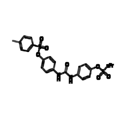 CCCS(=O)(=O)Oc1ccc(NC(=O)Nc2ccc(OS(=O)(=O)c3ccc(C)cc3)cc2)cc1